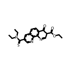 CCOC(=O)C1C=Nc2c(ccc3cc(C(=S)N(CC)CC)cnc23)C1=O